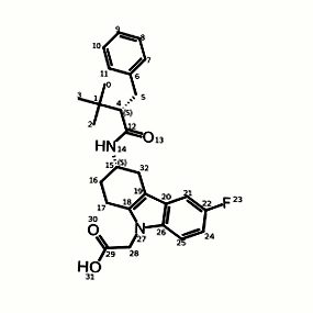 CC(C)(C)[C@H](Cc1ccccc1)C(=O)N[C@H]1CCc2c(c3cc(F)ccc3n2CC(=O)O)C1